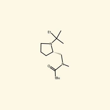 CCC(C)(C)N1CCC[C@H]1CN(C)C(=O)C(C)(C)C